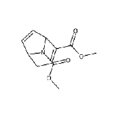 COC(=O)C1=CCC2C=CC1N2C(=O)OC